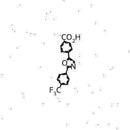 O=C(O)c1ccc(-c2cnc(-c3ccc(C(F)(F)F)cc3)o2)cc1